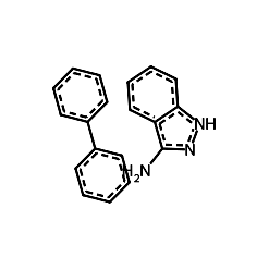 Nc1n[nH]c2ccccc12.c1ccc(-c2ccccc2)cc1